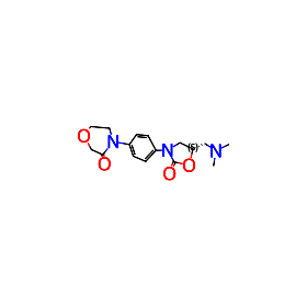 CN(C)C[C@H]1CN(c2ccc(N3CCOCC3=O)cc2)C(=O)O1